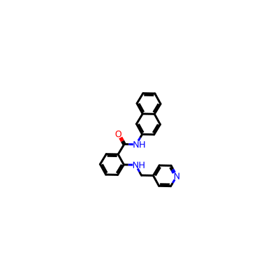 O=C(Nc1ccc2ccccc2c1)c1ccccc1NCc1ccncc1